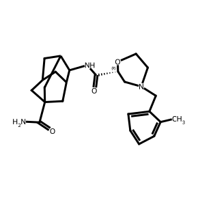 Cc1ccccc1CN1CCO[C@@H](C(=O)NC2C3CC4CC2CC(C(N)=O)(C4)C3)C1